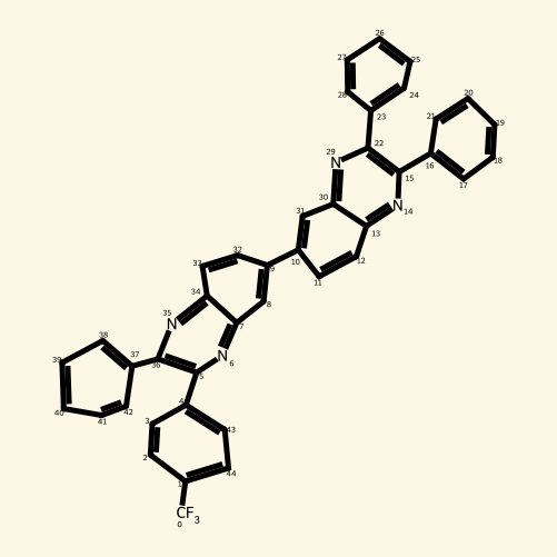 FC(F)(F)c1ccc(-c2nc3cc(-c4ccc5nc(-c6ccccc6)c(-c6ccccc6)nc5c4)ccc3nc2-c2ccccc2)cc1